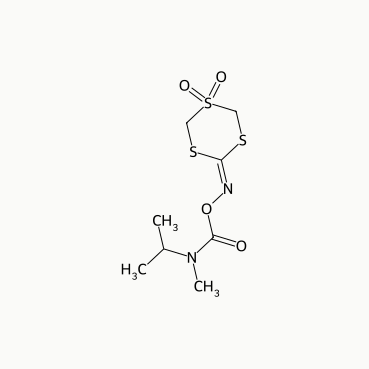 CC(C)N(C)C(=O)ON=C1SCS(=O)(=O)CS1